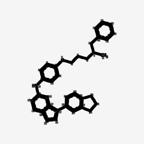 CN(CCCOc1ccc(Nc2ncc3nnn(-c4ccc5c(c4)CCC5)c3n2)cc1)Cc1ccccc1